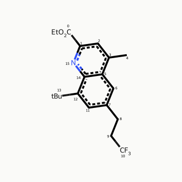 CCOC(=O)c1cc(C)c2cc(CCC(F)(F)F)cc(C(C)(C)C)c2n1